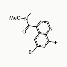 CON(C)C(=O)c1ccnc2c(F)cc(Br)cc12